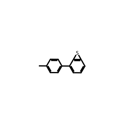 Cc1ccc(-c2cccc3c2S3)cc1